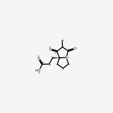 CC1C(=O)N2CCC[C@]2(CCC(=O)O)C1=O